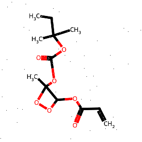 C=CC(=O)OC1OOC1(C)OC(=O)OC(C)(C)CC